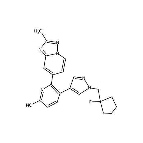 Cc1nc2cc(-c3nc(C#N)ccc3-c3cnn(CC4(F)CCCC4)c3)ccn2n1